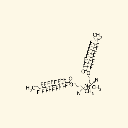 CCC(F)C(F)(F)C(F)(F)C(F)(F)C(F)(F)C(F)(F)C(F)(F)C(F)(F)C(F)(F)C(=O)OCCCC(C)(C#N)N=NC(C)(C#N)CCCOC(=O)C(F)(F)C(F)(F)C(F)(F)C(F)(F)C(F)(F)C(F)(F)C(F)(F)C(F)(F)C(F)CC